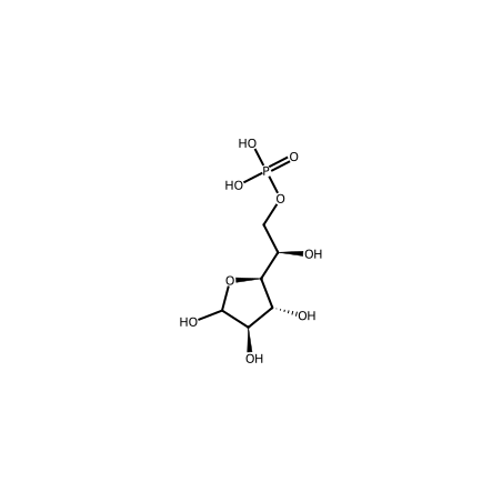 O=P(O)(O)OC[C@@H](O)[C@@H]1OC(O)[C@H](O)[C@H]1O